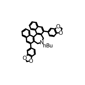 CCCCN1Cc2c(-c3ccc4c(c3)OCO4)cc3ccccc3c2-c2c(c(-c3ccc4c(c3)OCO4)cc3ccccc23)C1